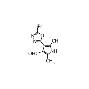 Cc1[nH]c(C)c(-c2nnc(C(C)C)o2)c1C=O